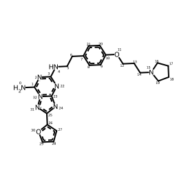 Nc1nc(NCCc2ccc(OCCCN3CCCC3)cc2)nc2nc(-c3ccco3)nn12